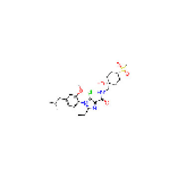 CCc1nc(C(=O)NC[C@]2(O)CC[C@@H](S(C)(=O)=O)CC2)c(Cl)n1C1=CC=C(CC(C)C)C[C@H]1OC